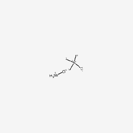 C[N+](C)(C)Cl.[Cl][SbH2]